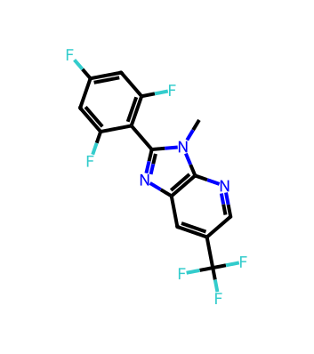 Cn1c(-c2c(F)cc(F)cc2F)nc2cc(C(F)(F)F)cnc21